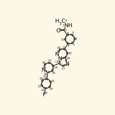 CNC(=O)c1cccc(-c2cnn3c(-c4ccnc(-c5ccc(F)cc5)c4)cnc3c2)c1